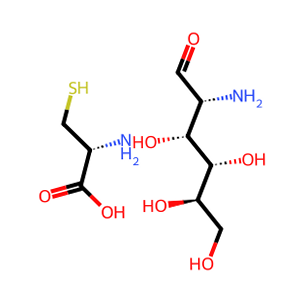 N[C@@H](C=O)[C@@H](O)[C@H](O)[C@H](O)CO.N[C@@H](CS)C(=O)O